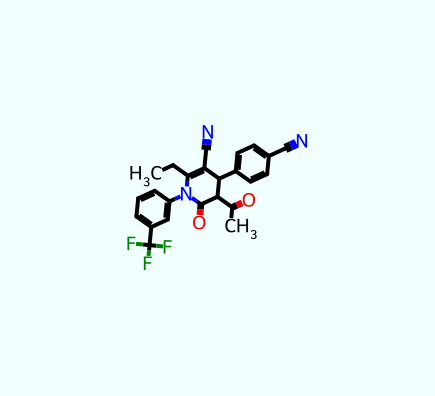 CCC1=C(C#N)C(c2ccc(C#N)cc2)C(C(C)=O)C(=O)N1c1cccc(C(F)(F)F)c1